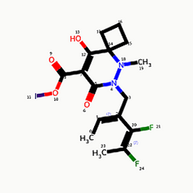 C/C=C(CN1C(=O)C(C(=O)OI)=C(O)C2(CCC2)N1C)\C(F)=C(/C)F